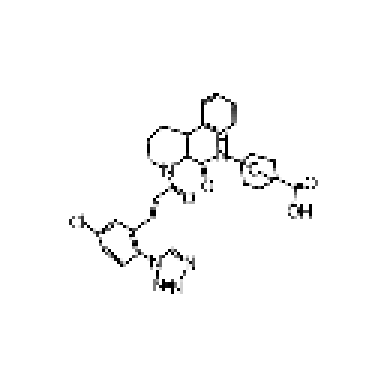 O=C(NC12CCC(C(=O)O)(CC1)CC2)C1C(c2ccccc2)CCCN1C(=O)/C=C/c1cc(Cl)ccc1-n1cnnn1